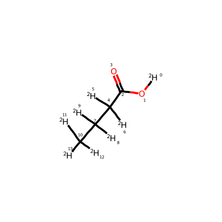 [2H]OC(=O)C([2H])([2H])C([2H])([2H])C([2H])([2H])[2H]